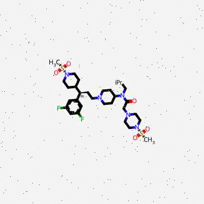 CC(C)CN(C(=O)CN1CCN(S(C)(=O)=O)CC1)C1CCN(CC[C@@H](c2cc(F)cc(F)c2)C2CCN(S(C)(=O)=O)CC2)CC1